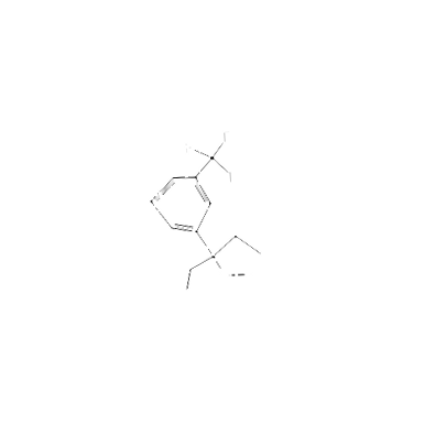 CCC(CC)(O[SiH3])c1cccc(C(F)(F)F)c1